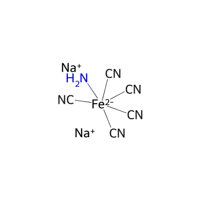 N#[C][Fe-2]([NH2])([C]#N)([C]#N)([C]#N)[C]#N.[Na+].[Na+]